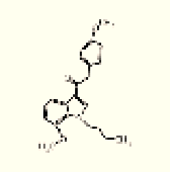 CCCCn1cc(C(=O)Cc2ccc(OC)cc2)c2cccc(OC)c21